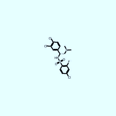 CN(C)C[C@H](NS(=O)(=O)c1ccc(Cl)cc1F)c1ccc(Cl)c(Cl)c1